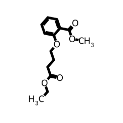 CCOC(=O)CCCOc1ccccc1C(=O)OC